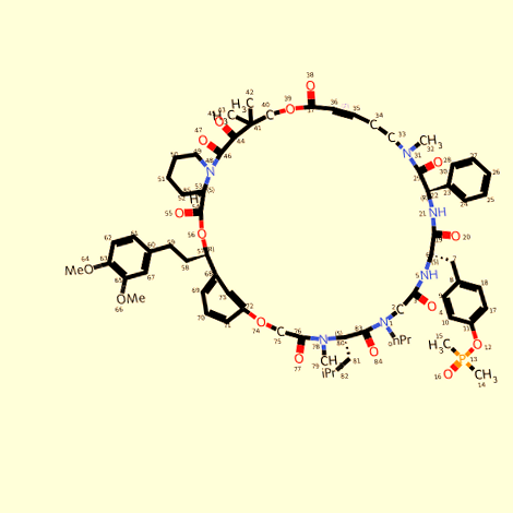 CCCN1CC(=O)N[C@@H](Cc2ccc(OP(C)(C)=O)cc2)C(=O)N[C@H](c2ccccc2)C(=O)N(C)CC/C=C\C(=O)OCC(C)(C)C(=O)C(=O)N2CCCC[C@H]2C(=O)O[C@H](CCc2ccc(OC)c(OC)c2)c2cccc(c2)OCC(=O)N(C)[C@@H](CC(C)C)C1=O